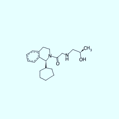 C[C@@H](O)CNCC(=O)N1CCc2ccccc2[C@@H]1C1CCCCC1